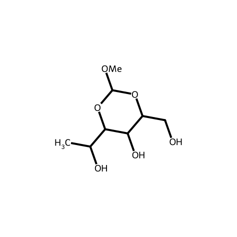 COC1OC(CO)C(O)C(C(C)O)O1